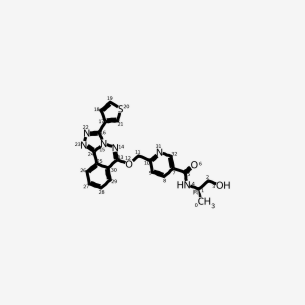 C[C@H](CO)NC(=O)c1ccc(COc2nn3c(-c4ccsc4)nnc3c3ccccc23)nc1